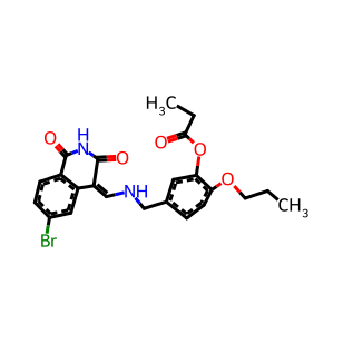 CCCOc1ccc(CNC=C2C(=O)NC(=O)c3ccc(Br)cc32)cc1OC(=O)CC